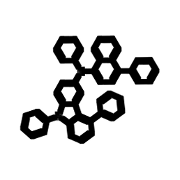 c1ccc(-c2ccc(N(c3ccccc3)c3ccc4c(c3)c3c(-c5ccccc5)cccc3n4-c3ccccc3)c3ccccc23)cc1